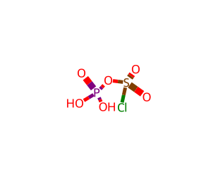 O=P(O)(O)OS(=O)(=O)Cl